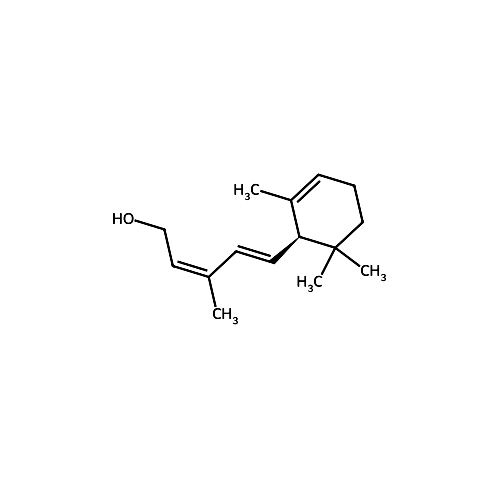 CC1=CCCC(C)(C)[C@H]1/C=C/C(C)=C\CO